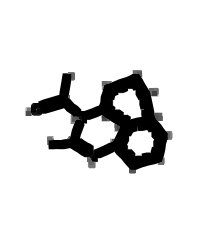 CC(=O)N1C(C)=Nc2cccc3cccc1c23